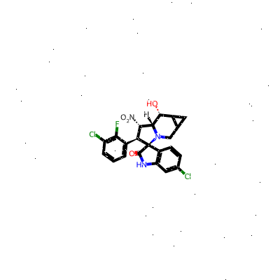 O=C1Nc2cc(Cl)ccc2[C@@]12[C@@H](c1cccc(Cl)c1F)[C@H]([N+](=O)[O-])[C@@H]1[C@H](O)C3CC3CN12